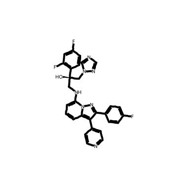 O[C@](CNc1cccc2c(-c3ccncc3)c(-c3ccc(F)cc3)nn12)(Cn1cncn1)c1ccc(F)cc1F